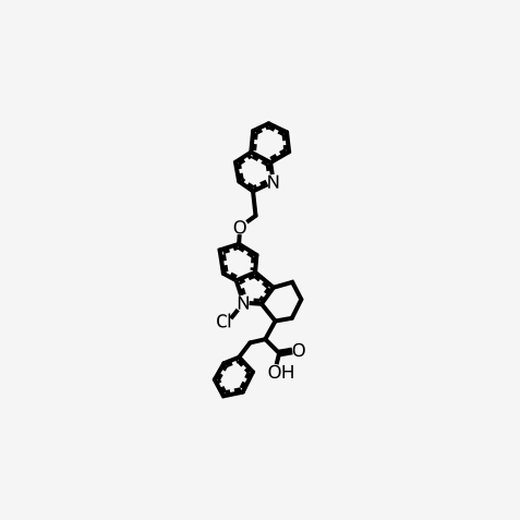 O=C(O)C(Cc1ccccc1)C1CCCc2c1n(Cl)c1ccc(OCc3ccc4ccccc4n3)cc21